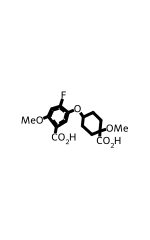 COc1cc(F)c(OC2CCC(OC)(C(=O)O)CC2)cc1C(=O)O